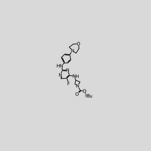 CC(C)(C)OC(=O)N1CC(Nc2nc(Nc3ccc(N4CCOCC4)cc3)ncc2F)C1